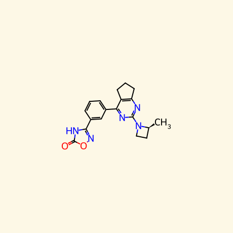 C[C@H]1CCN1c1nc2c(c(-c3cccc(-c4noc(=O)[nH]4)c3)n1)CCC2